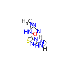 Cn1cc(NC(=O)c2csc3ncc(N4C[C@H]5CC[C@@H]4CN5)nc23)c(C#N)n1